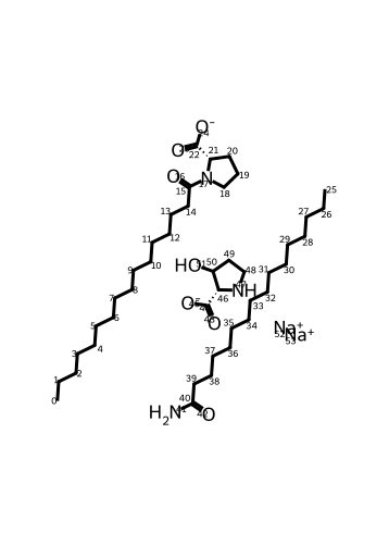 CCCCCCCCCCCCCCCC(=O)N1CCC[C@H]1C(=O)[O-].CCCCCCCCCCCCCCCC(N)=O.O=C([O-])[C@H]1NCCC1O.[Na+].[Na+]